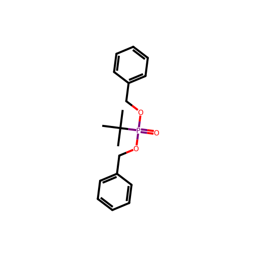 CC(C)(C)P(=O)(OCc1ccccc1)OCc1ccccc1